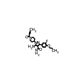 CC#CC(=O)N1CCC(n2nc(-c3ccc(OCCC)c(F)c3)c(C(N)=O)c2N)CC1